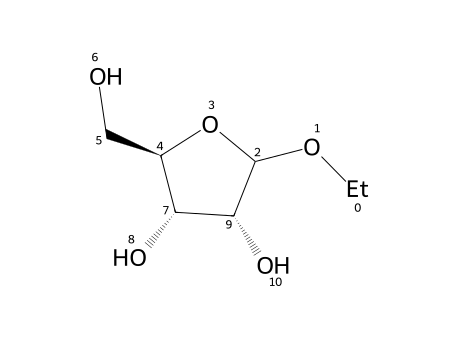 CCOC1O[C@H](CO)[C@@H](O)[C@H]1O